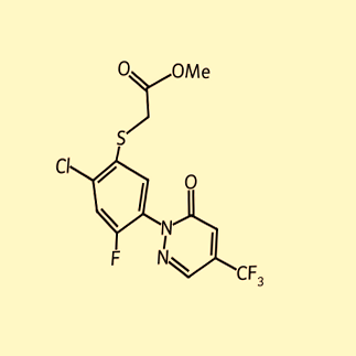 COC(=O)CSc1cc(-n2ncc(C(F)(F)F)cc2=O)c(F)cc1Cl